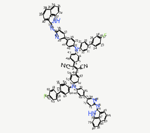 N#C/C(=C(/C#N)c1ccc(N(c2ccc(-c3ccc(F)cc3)cc2)c2ccc(-c3ccc(/N=C4\Nc5cccc6cccc4c56)nc3)cc2)cc1)c1ccc(N(c2ccc(-c3ccc(F)cc3)cc2)c2ccc(-c3ccc(/N=C4\Nc5cccc6cccc4c56)nc3)cc2)cc1